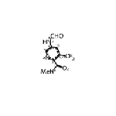 CNC(=O)c1ncc(NC=O)cc1C(F)(F)F